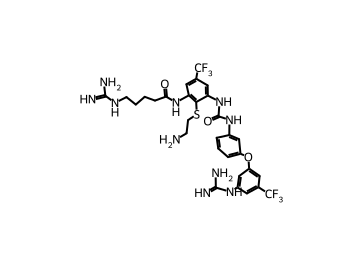 N=C(N)NCCCCC(=O)Nc1cc(C(F)(F)F)cc(NC(=O)Nc2cccc(Oc3cc(NC(=N)N)cc(C(F)(F)F)c3)c2)c1SCCN